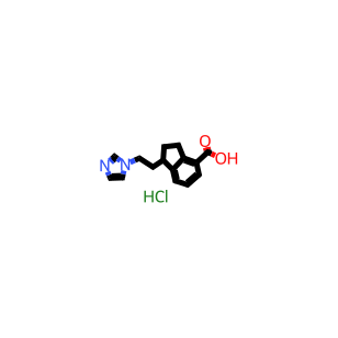 Cl.O=C(O)c1cccc2c1CCC2CCn1ccnc1